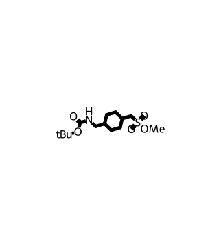 COS(=O)(=O)CC1CCC(CNC(=O)OC(C)(C)C)CC1